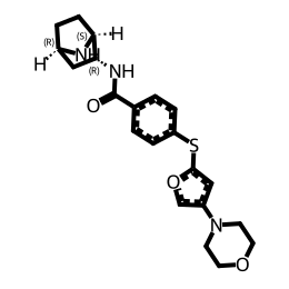 O=C(N[C@@H]1C[C@H]2CC[C@@H]1N2)c1ccc(Sc2cc(N3CCOCC3)co2)cc1